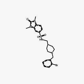 Cn1c(=O)n(C)c2cc(S(=O)(=O)NCC3CCN(Cc4ccccc4Br)CC3)ccc21